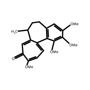 COc1cc2c(c(OC)c1OC)-c1ccc(OC)c(=O)cc1C(C)CC2